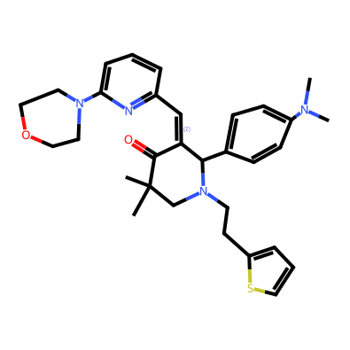 CN(C)c1ccc(C2/C(=C/c3cccc(N4CCOCC4)n3)C(=O)C(C)(C)CN2CCc2cccs2)cc1